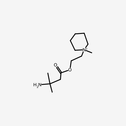 CC(C)(N)CC(=O)OCC[N+]1(C)CCCCC1